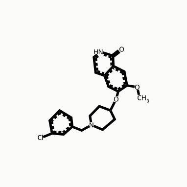 COc1cc2c(=O)[nH]ccc2cc1OC1CCN(Cc2cccc(Cl)c2)CC1